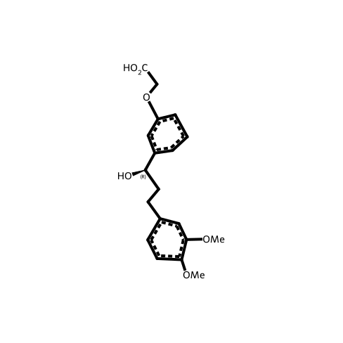 COc1ccc(CC[C@@H](O)c2cccc(OCC(=O)O)c2)cc1OC